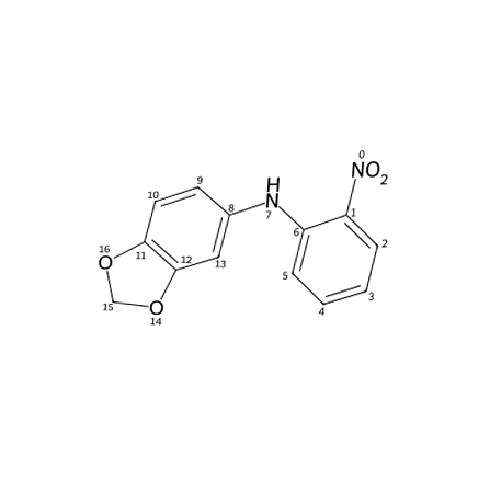 O=[N+]([O-])c1ccccc1Nc1ccc2c(c1)OCO2